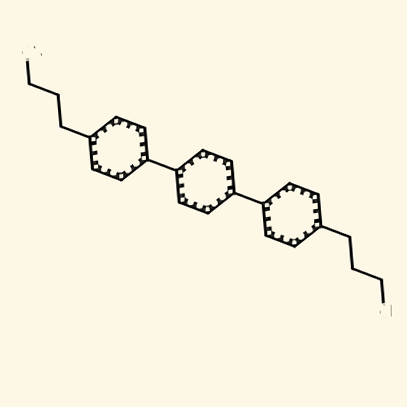 N#CCCCc1ccc(-c2ccc(-c3ccc(CCCCl)cc3)cc2)cc1